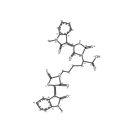 CN1C(=O)C(=C2SC(=S)N(CCCCC(C(=O)O)N3C(=O)C(=C4C(=O)N(C)c5ccccc54)SC3=S)C2=O)c2ccccc21